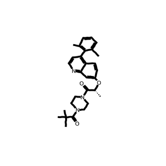 Cc1cccc(C)c1-c1ccnc2cc(O[C@H](C)C(=O)N3CCN(C(=O)C(C)(C)C)CC3)ccc12